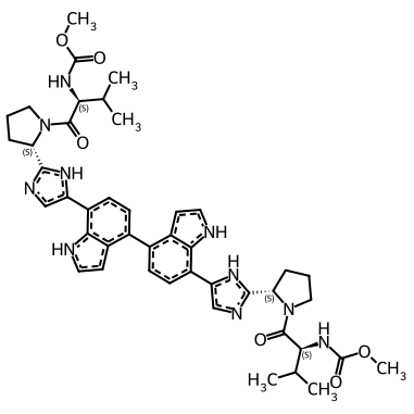 COC(=O)N[C@H](C(=O)N1CCC[C@H]1c1ncc(-c2ccc(-c3ccc(-c4cnc([C@@H]5CCCN5C(=O)[C@@H](NC(=O)OC)C(C)C)[nH]4)c4[nH]ccc34)c3cc[nH]c23)[nH]1)C(C)C